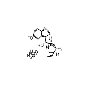 C=C[C@H]1C[N@]2CC[C@H]1C[C@H]2[C@H](O)c1ccnc2ccc(OC)cc12.O.O.O